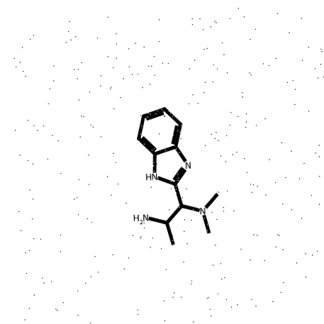 CC(N)C(c1nc2ccccc2[nH]1)N(C)C